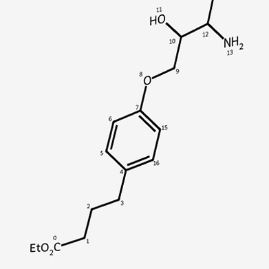 CCOC(=O)CCCc1ccc(OCC(O)C(N)C(C)C)cc1